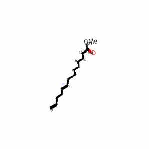 C=CCC/C=C/CCCCCCCC(=O)OC